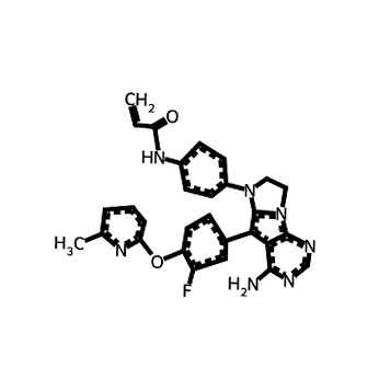 C=CC(=O)Nc1ccc(N2CCn3c2c(-c2ccc(Oc4cccc(C)n4)c(F)c2)c2c(N)ncnc23)cc1